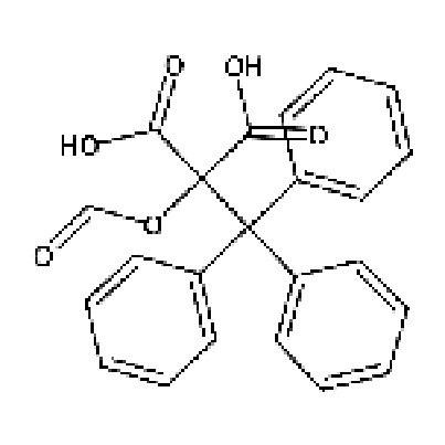 O=COC(C(=O)O)(C(=O)O)C(c1ccccc1)(c1ccccc1)c1ccccc1